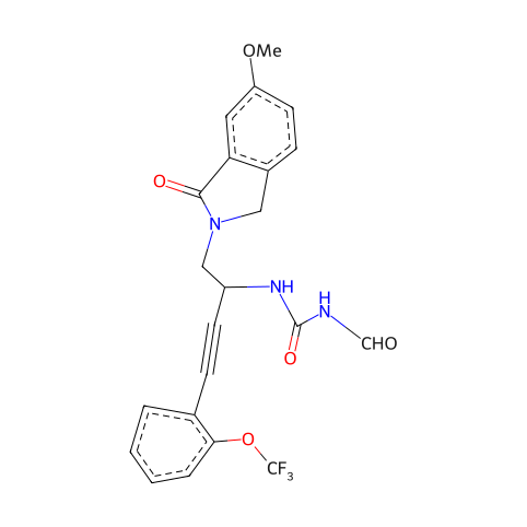 COc1ccc2c(c1)C(=O)N(CC(C#Cc1ccccc1OC(F)(F)F)NC(=O)NC=O)C2